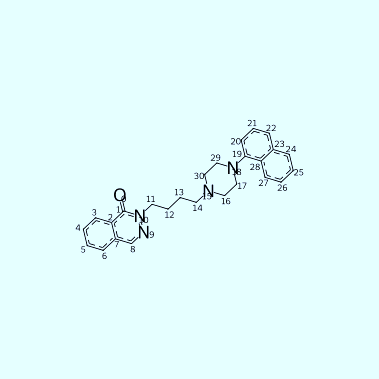 O=c1c2ccccc2cnn1CCCCN1CCN(c2cccc3ccccc23)CC1